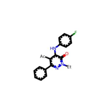 CCn1nc(-c2ccccc2)c(C(C)=O)c(Nc2ccc(F)cc2)c1=O